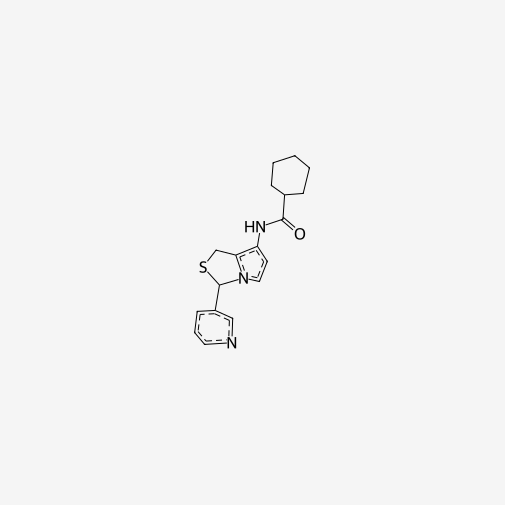 O=C(Nc1ccn2c1CSC2c1cccnc1)C1CCCCC1